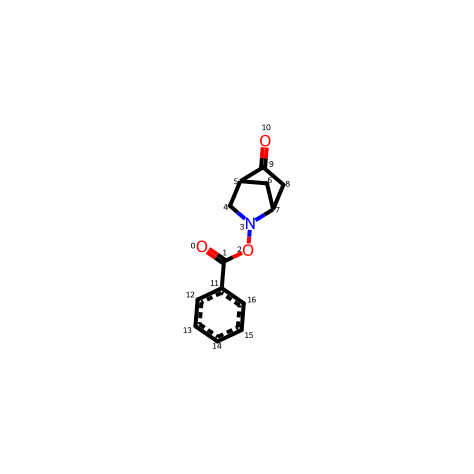 O=C(ON1CC2CC1CC2=O)c1ccccc1